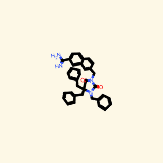 N=C(N)c1ccc2ccc(CN3C(=O)N(Cc4ccccc4)C(Cc4ccccc4)(Cc4ccccc4)C3=O)cc2c1